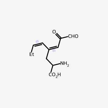 CC/C=C\C(=C/C(=O)C=O)CC(N)C(=O)O